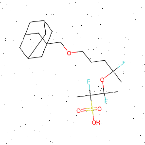 CC(F)(CCCOCC12CC3CC(CC(C3)C1)C2)OC(C)(F)C(C)(F)S(=O)(=O)O